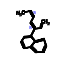 C=C/C(=C\C=C/C)c1cccc2ccccc12